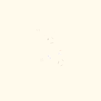 CC(C)Oc1ccc(COC(=O)N(Cc2ccc(F)cc2)[C@H]2CCN(C)C[C@H]2F)cc1